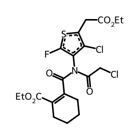 CCOC(=O)Cc1sc(F)c(N(C(=O)CCl)C(=O)C2=C(C(=O)OCC)CCCC2)c1Cl